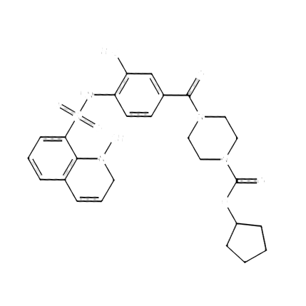 Cc1cc(C(=O)N2CCN(C(=O)OC3CCCC3)CC2)ccc1NS(=O)(=O)c1cccc2c1N(C)CC=C2